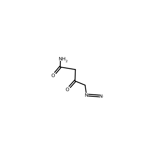 [N]=NCC(=O)CC(N)=O